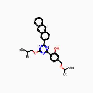 CCCCC(CC)COc1nc(-c2ccc3cc4ccccc4cc3c2)nc(-c2ccc(COC(CC)CCCC)cc2O)n1